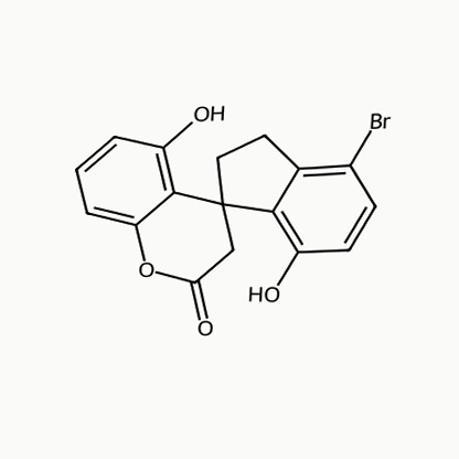 O=C1CC2(CCc3c(Br)ccc(O)c32)c2c(O)cccc2O1